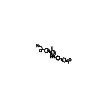 CC(=O)N1CCN(c2ccc(Nc3ncc(F)c(N4CCC(C(=O)CC#N)CC4)n3)cc2)CC1